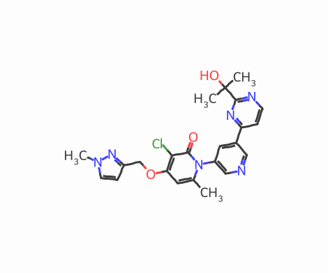 Cc1cc(OCc2ccn(C)n2)c(Cl)c(=O)n1-c1cncc(-c2ccnc(C(C)(C)O)n2)c1